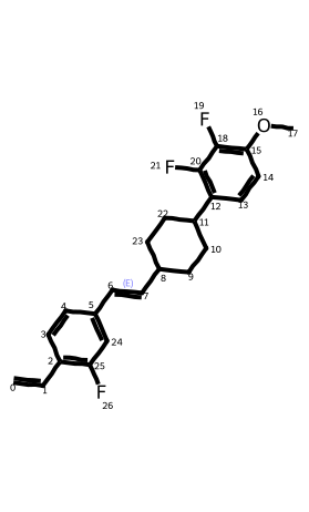 C=Cc1ccc(/C=C/C2CCC(c3ccc(OC)c(F)c3F)CC2)cc1F